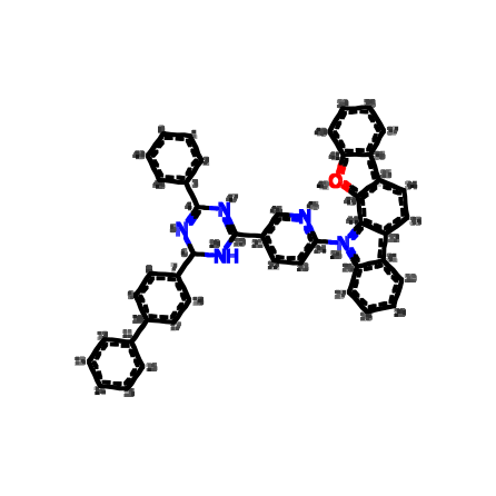 c1ccc(C2=NC(c3ccc(-c4ccccc4)cc3)NC(c3ccc(-n4c5ccccc5c5ccc6c7ccccc7oc6c54)nc3)=N2)cc1